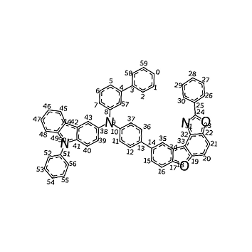 c1ccc(-c2cccc(N(c3ccc(-c4ccc5oc6ccc7oc(-c8ccccc8)nc7c6c5c4)cc3)c3ccc4c(c3)c3ccccc3n4-c3ccccc3)c2)cc1